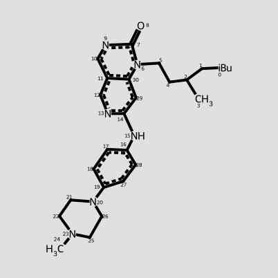 CCC(C)CC(C)CCn1c(=O)ncc2cnc(Nc3ccc(N4CCN(C)CC4)cc3)cc21